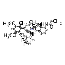 C=CC(=O)Nc1cccc(C/N=C2/C(=C)C=C(c3c(Cl)c(OC)cc(OC)c3Cl)N=C2NC2CCC(F)(F)C2)c1N